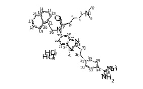 CN(C)CCCCC(=O)N(Cc1cccc2ccccc12)c1ccc2c(c1)nc(CCc1ccc(C(=N)N)cc1)n2C.Cl.Cl